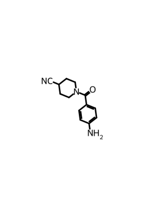 N#CC1CCN(C(=O)c2ccc(N)cc2)CC1